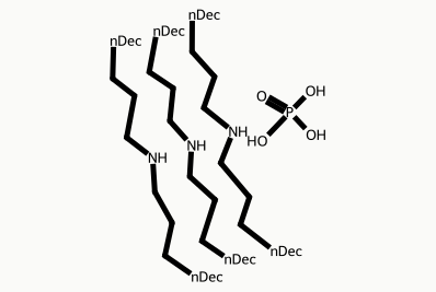 CCCCCCCCCCCCCNCCCCCCCCCCCCC.CCCCCCCCCCCCCNCCCCCCCCCCCCC.CCCCCCCCCCCCCNCCCCCCCCCCCCC.O=P(O)(O)O